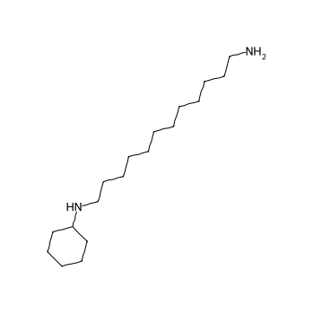 NCCCCCCCCCCCCNC1CCCCC1